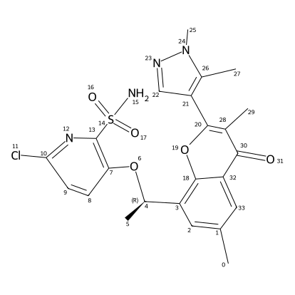 Cc1cc([C@@H](C)Oc2ccc(Cl)nc2S(N)(=O)=O)c2oc(-c3cnn(C)c3C)c(C)c(=O)c2c1